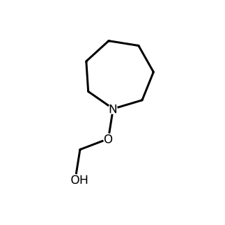 OCON1CCCCCC1